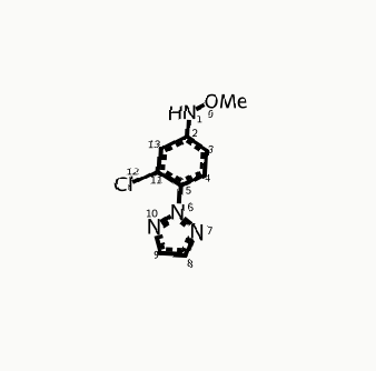 CONc1ccc(-n2nccn2)c(Cl)c1